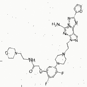 Nc1nc2c(cnn2CCN2CCN(c3cc(OCC(=O)NCCN4CCOCC4)c(F)cc3F)CC2)c2nc(-c3ccco3)nn12